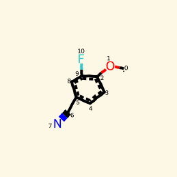 [CH2]Oc1ccc(C#N)cc1F